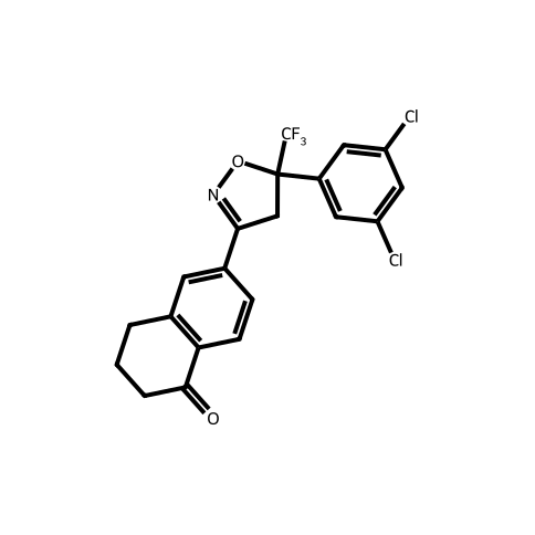 O=C1CCCc2cc(C3=NOC(c4cc(Cl)cc(Cl)c4)(C(F)(F)F)C3)ccc21